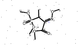 CO/N=C(/C(=O)OC)C(C)P(=O)(OC)OC